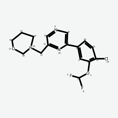 FC(F)Oc1cc(-c2cncc(CN3CCCOC3)n2)ccc1Cl